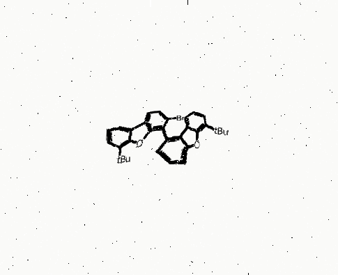 CC(C)(C)c1cccc2c1oc1c(-c3cccc4oc5c(C(C)(C)C)cccc5c34)c(Br)ccc12